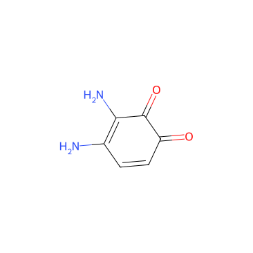 NC1=C(N)C(=O)C(=O)C=C1